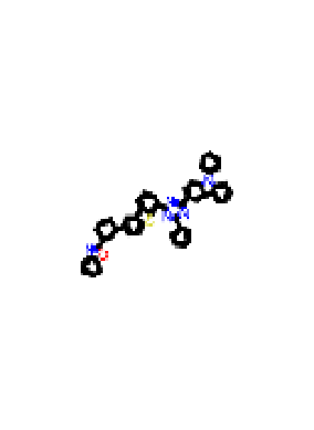 c1ccc(-c2nc(-c3ccc4c(c3)c3ccccc3n4-c3ccccc3)nc(-c3cccc4c3sc3ccc(-c5cccc(-c6nc7ccccc7o6)c5)cc34)n2)cc1